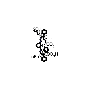 CCCC[N+]1=C(/C=C/C2=C(Oc3ccc(S(=O)(=O)O)cc3)C(=C/C=C3/N(CCCS(=O)(=O)O)c4ccccc4C3(C)CCCC(=O)O)/CCC2)C(C)(C)c2ccccc21